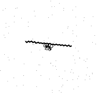 CCCCCCCCCCCCCCCC(CCCCCCCCCCCCCCC)=C(C(=O)OC)C(=O)OC